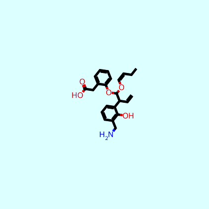 C=CC(c1cccc(CN)c1O)C(O/C=C\CC)Oc1ccccc1CC(=O)O